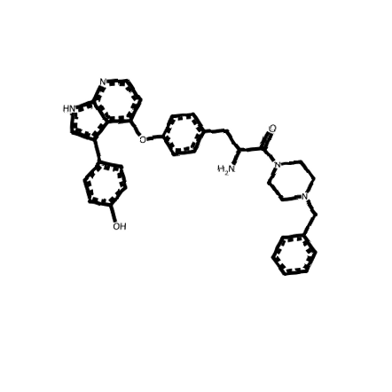 NC(Cc1ccc(Oc2ccnc3[nH]cc(-c4ccc(O)cc4)c23)cc1)C(=O)N1CCN(Cc2ccccc2)CC1